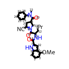 COc1cccc2[nH]c(C(=O)NC(CC(C)C)C(=O)N3CC(C(=O)N(C)c4ccccc4)CC3C#N)cc12